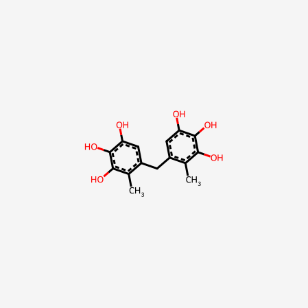 Cc1c(Cc2cc(O)c(O)c(O)c2C)cc(O)c(O)c1O